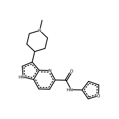 CN1CCC(c2c[nH]c3ccc(C(=O)Nc4ccoc4)nc23)CC1